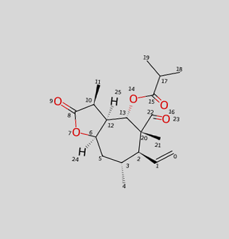 C=C[C@H]1[C@H](C)C[C@H]2OC(=O)[C@@H](C)[C@H]2[C@H](OC(=O)C(C)C)[C@]1(C)C=O